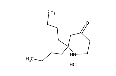 CCCCC1(CCCC)CC(=O)CCN1.Cl